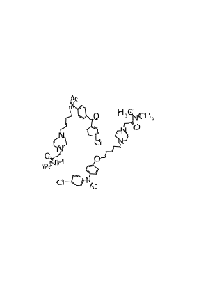 CC(=O)N(CCCCCN1CCN(CC(=O)NC(C)C)CC1)c1ccc(C(=O)c2ccc(Cl)cc2)cc1.CC(=O)N(c1ccc(Cl)cc1)c1ccc(OCCCCCN2CCN(CC(=O)N(C)C)CC2)cc1